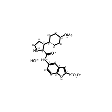 CCOC(=O)c1cc2cc(NC(=O)[C@H]3NCC[C@H]3[C@H]3CC[C@H](OC)CC3)ccc2o1.Cl